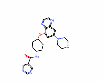 O=C(N[C@H]1CC[C@@H](Oc2cc(N3CCOCC3)cc3nccnc23)CC1)c1cncnc1